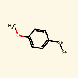 COc1ccc([Se][SeH])cc1